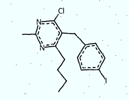 CCCCc1nc(C)nc(Cl)c1Cc1ccc(I)cc1